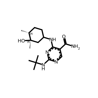 C[C@@H]1CCC(Nc2nc(NC(C)(C)C)ncc2C(N)=O)C[C@@]1(C)O